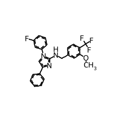 COc1cc(CNc2nc(-c3ccccc3)cn2-c2cccc(F)c2)ccc1C(F)(F)F